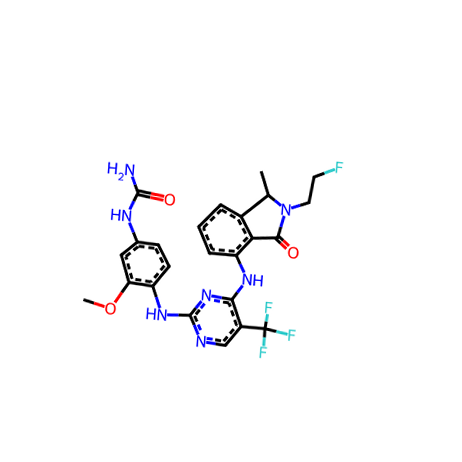 COc1cc(NC(N)=O)ccc1Nc1ncc(C(F)(F)F)c(Nc2cccc3c2C(=O)N(CCF)C3C)n1